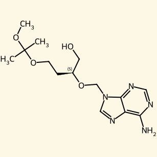 COC(C)(C)OCC[C@@H](CO)OCn1cnc2c(N)ncnc21